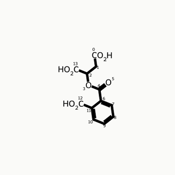 O=C(O)CC(OC(=O)c1ccccc1C(=O)O)C(=O)O